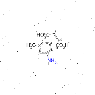 Cc1cccc(N)c1.O=C(O)/C=C\C(=O)O